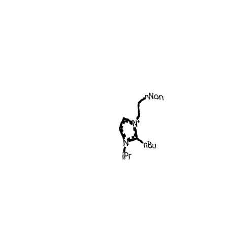 CCCCCCCCCCC[n+]1ccn(C(C)C)c1CCCC